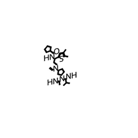 C=CN(CCC(NC(=O)C1CCCC1)c1cc(C)c(C)s1)C1CCC(N(C(C)=N)C(=N)C(C)C)C1